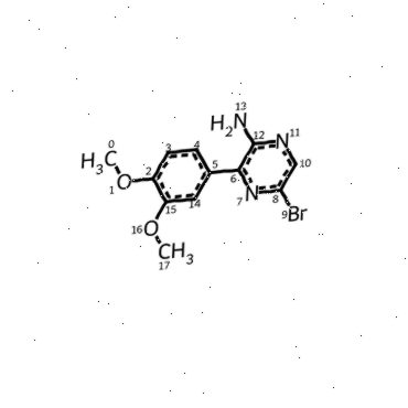 COc1ccc(-c2nc(Br)cnc2N)cc1OC